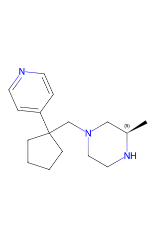 C[C@@H]1CN(CC2(c3ccncc3)CCCC2)CCN1